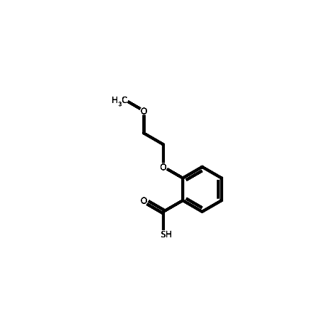 COCCOc1ccccc1C(=O)S